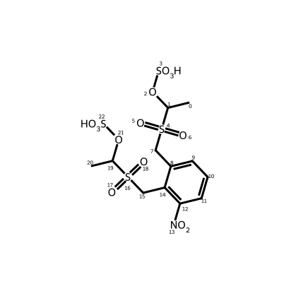 CC(OS(=O)(=O)O)S(=O)(=O)Cc1cccc([N+](=O)[O-])c1CS(=O)(=O)C(C)OS(=O)(=O)O